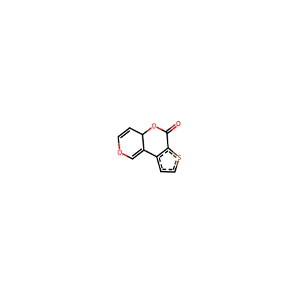 O=C1OC2C=COC=C2c2ccsc21